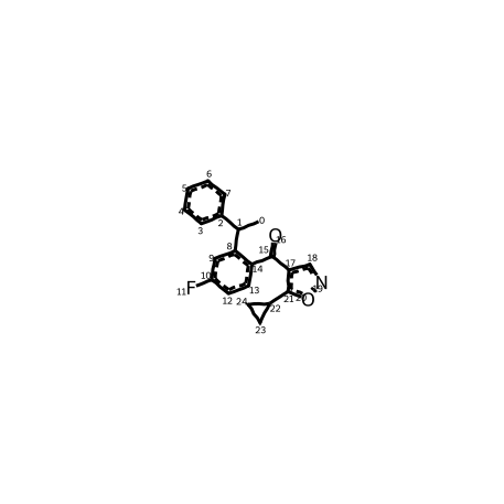 CC(c1ccccc1)c1cc(F)ccc1C(=O)c1cnoc1C1CC1